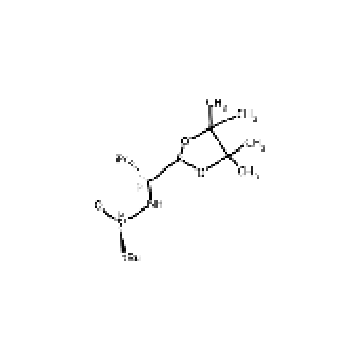 CC(C)[C@@H](N[S@+]([O-])C(C)(C)C)B1OC(C)(C)C(C)(C)O1